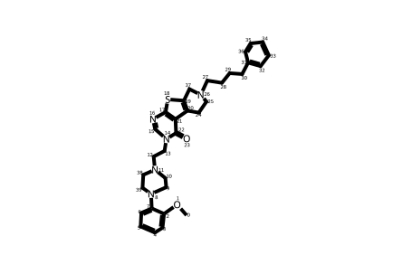 COc1ccccc1N1CCN(CCn2cnc3sc4c(c3c2=O)CCN(CCCCc2ccccc2)C4)CC1